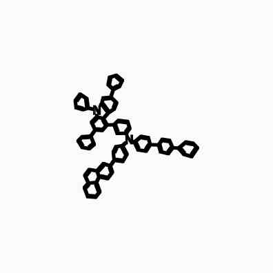 c1ccc(-c2ccc(-c3ccc(N(c4ccc(-c5ccc6c(ccc7ccccc76)c5)cc4)c4cccc(-c5cc(-c6ccccc6)cc6c5c5ccc(-c7ccccc7)cc5n6-c5ccccc5)c4)cc3)cc2)cc1